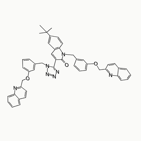 CC(C)(C)c1ccc2c(c1)cc(-c1nnnn1Cc1cccc(OCc3ccc4ccccc4n3)c1)c(=O)n2Cc1cccc(OCc2ccc3ccccc3n2)c1